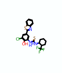 Oc1c(Cl)cc(-c2nc3ccccc3s2)cc1NC(=S)NC1CCCCC1C(F)(F)F